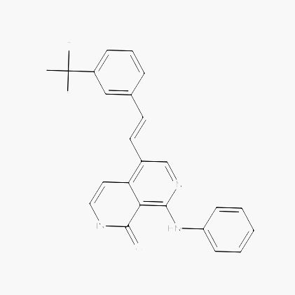 O=c1[nH]ccc2c(/C=C/c3cccc(C(F)(F)F)c3)cnc(Nc3ccccc3)c12